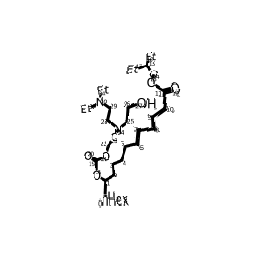 CCCCCCC(CCCCCCCCCC(=O)OOC(CC)CC)OC(=O)OCCN(CCO)CCN(CC)CC